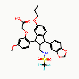 CCCOc1ccc2c(c1)C(c1ccc(OC)cc1OCC(=O)O)C(CNS(=O)(=O)C(F)(F)F)C2c1ccc2c(c1)OCO2